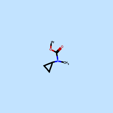 CC(C)OC(=O)N(C)C1CC1